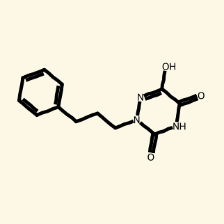 O=c1[nH]c(=O)n(CCCc2ccccc2)nc1O